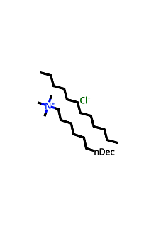 CCCCCCCCCCCC.CCCCCCCCCCCCCCCC[N+](C)(C)C.[Cl-]